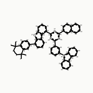 CC1(C)CCC(C)(C)c2cc(-c3cccc4c3oc3cccc(-c5nc(-c6cccc(-n7c8ccccc8c8ccccc87)c6)nc(-c6ccc7ccccc7c6)n5)c34)ccc21